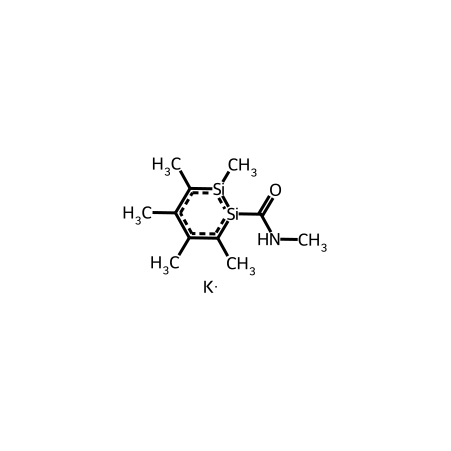 CNC(=O)[si]1c(C)c(C)c(C)c(C)[si]1C.[K]